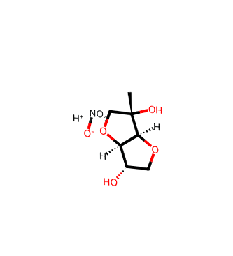 C[C@]1(O)CO[C@@H]2[C@@H](O)CO[C@@H]21.O=[N+]([O-])[O-].[H+]